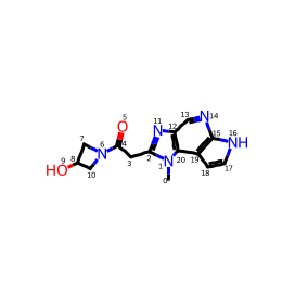 Cn1c(CC(=O)N2CC(O)C2)nc2cnc3[nH]ccc3c21